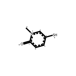 Cn1cc(S)ccc1=O